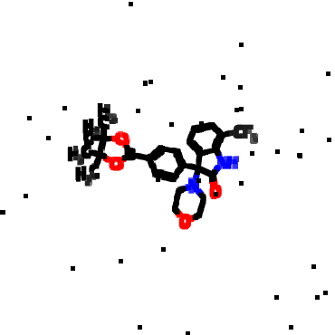 CC1(C)OB(c2ccc(C3(N4CCOCC4)C(=O)Nc4c(C(F)(F)F)cccc43)cc2)OC1(C)C